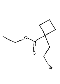 CCOC(=O)C1(CCBr)CCC1